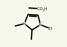 CC(=O)O.CCN1C=CN(C)C1C